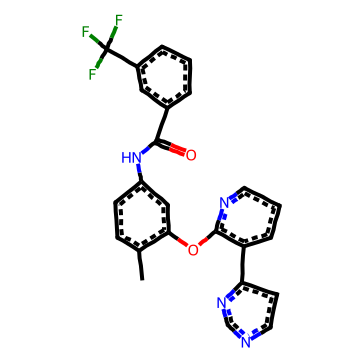 Cc1ccc(NC(=O)c2cccc(C(F)(F)F)c2)cc1Oc1ncccc1-c1ccncn1